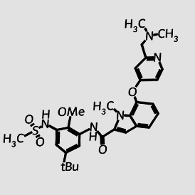 COc1c(NC(=O)c2cc3cccc(Oc4ccnc(CN(C)C)c4)c3n2C)cc(C(C)(C)C)cc1NS(C)(=O)=O